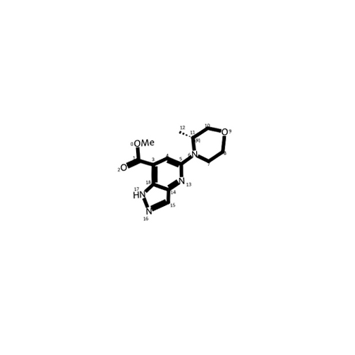 COC(=O)c1cc(N2CCOC[C@H]2C)nc2cn[nH]c12